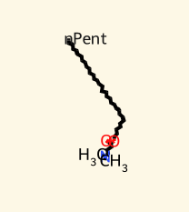 CCCCCC=CCC=CCCCCCCCCCCCCCCCCCC=CC/C=C\CCCCCOC(=O)CCCN(C)C